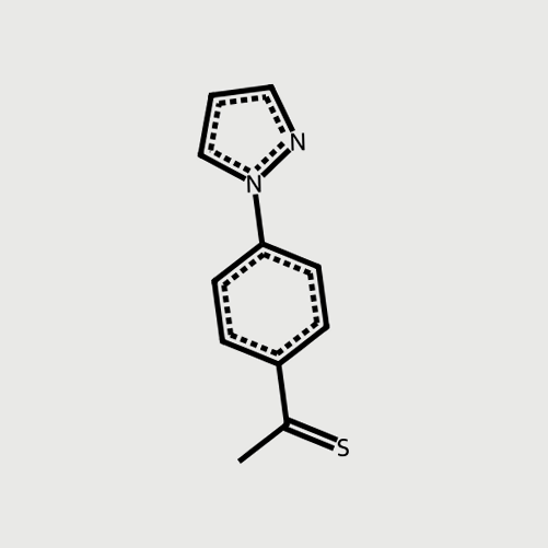 CC(=S)c1ccc(-n2cccn2)cc1